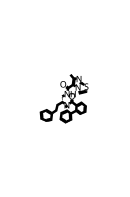 Cc1nc2sccn2c1C(=O)NC[C@@H](CCc1ccccc1)N(C)C(=O)c1ccccc1-c1ccccc1